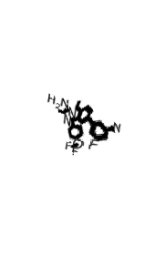 CCc1ccc(-c2cc(F)cc(C#N)c2)cc1C1(C2CCC(OC(F)F)CC2)N=C(C)C(N)=N1